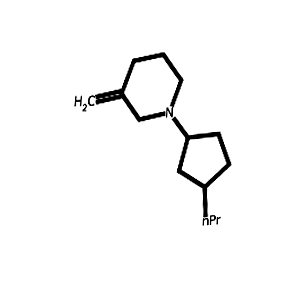 C=C1CCCN(C2CCC(CCC)C2)C1